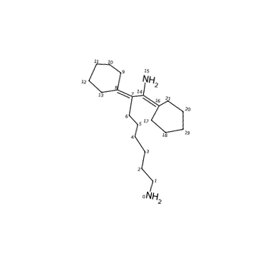 NCCCCCCC(=C1CCCCC1)C(N)=C1CCCCC1